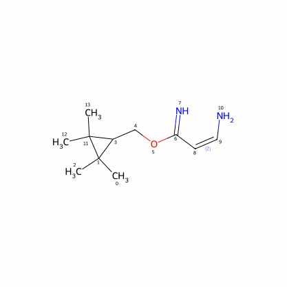 CC1(C)C(COC(=N)/C=C\N)C1(C)C